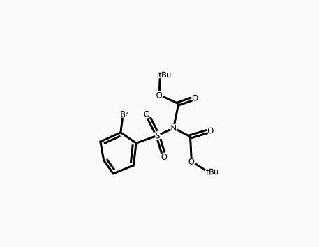 CC(C)(C)OC(=O)N(C(=O)OC(C)(C)C)S(=O)(=O)c1ccccc1Br